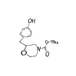 CC(C)(C)OC(=O)N1CCOC(Cc2ccc(O)cc2)C1